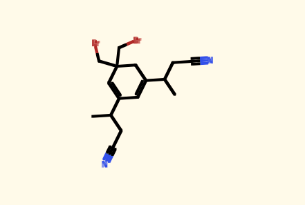 CC(CC#N)C1=CC(CBr)(CBr)CC(C(C)CC#N)=C1